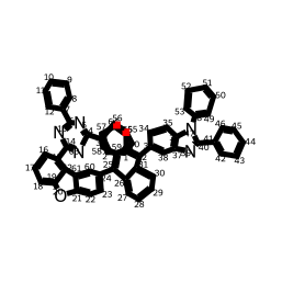 c1ccc(-c2nc(-c3ccccc3)nc(-c3cccc4oc5ccc(-c6c7ccccc7c(-c7ccc8c(c7)nc(-c7ccccc7)n8-c7ccccc7)c7ccccc67)cc5c34)n2)cc1